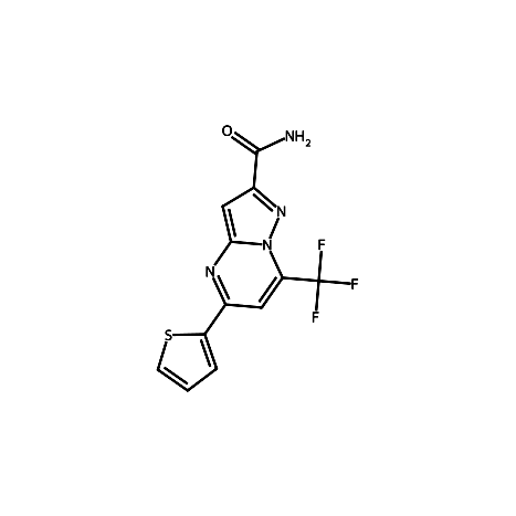 NC(=O)c1cc2nc(-c3cccs3)cc(C(F)(F)F)n2n1